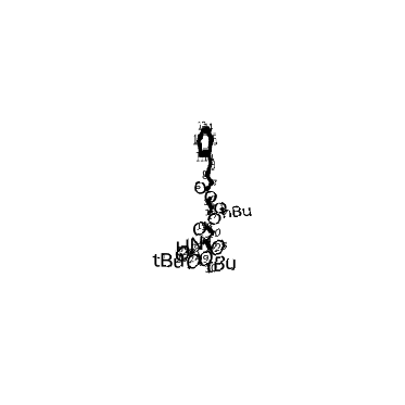 CCCCOC(COC(=O)CCCc1ccccc1)COC(=O)C[C@H](NC(=O)OC(C)(C)C)C(=O)OC(C)(C)C